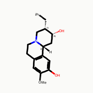 COc1cc2c(cc1O)[C@H]1C[C@@H](O)[C@@H](CC(C)C)CN1CC2